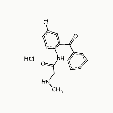 CNCC(=O)Nc1ccc(Cl)cc1C(=O)c1ccccc1.Cl